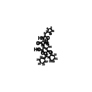 O=C(Cc1cccs1)NC1C(=O)N2C(C(=O)O)=C(C(=O)OC(c3ccccc3)c3ccccc3)CS[C@H]12